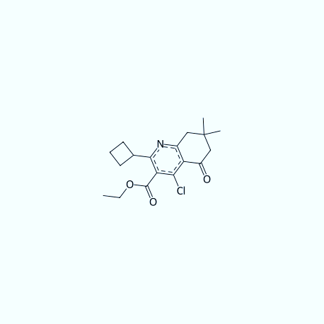 CCOC(=O)c1c(C2CCC2)nc2c(c1Cl)C(=O)CC(C)(C)C2